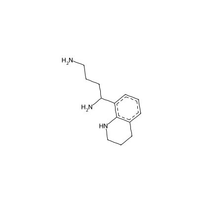 NCCCC(N)c1cccc2c1NCCC2